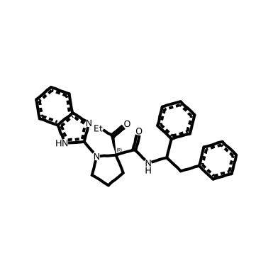 CCC(=O)[C@@]1(C(=O)NC(Cc2ccccc2)c2ccccc2)CCCN1c1nc2ccccc2[nH]1